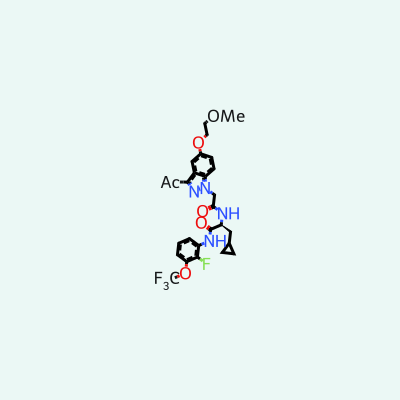 COCCOc1ccc2c(c1)c(C(C)=O)nn2CC(=O)N[C@@H](CC1CC1)C(=O)Nc1cccc(OC(F)(F)F)c1F